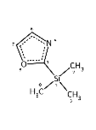 C[Si](C)(C)c1ncco1